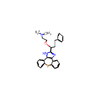 CN(C)CCOC(CCc1ccccc1)c1nc2c([nH]1)-c1ccccc1Sc1ccccc1-2